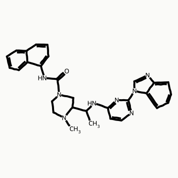 CC(Nc1ccnc(-n2cnc3ccccc32)n1)C1CN(C(=O)Nc2cccc3ccccc23)CCN1C